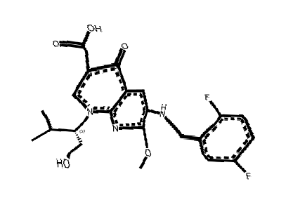 COc1nc2c(cc1NCc1cc(F)ccc1F)c(=O)c(C(=O)O)cn2[C@H](CO)C(C)C